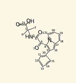 CC(C)(NC(=O)C(=O)c1c(-c2ccccc2)cc2ccccn12)C(=O)O